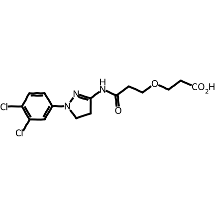 O=C(O)CCOCCC(=O)NC1=NN(c2ccc(Cl)c(Cl)c2)CC1